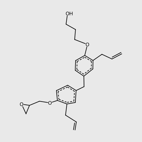 C=CCc1cc(Cc2ccc(OCC3CO3)c(CC=C)c2)ccc1OCCCO